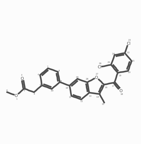 COC(=O)Cc1cccc(-c2ccc3c(C)c(C(=O)c4ccc(Cl)cc4Cl)oc3c2)c1